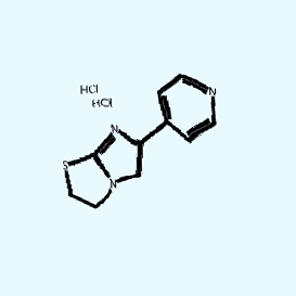 Cl.Cl.c1cc(C2CN3CCSC3=N2)ccn1